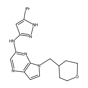 CC(C)c1cc(Nc2cnc3ccn(CC4CCOCC4)c3n2)n[nH]1